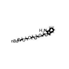 CCCCOCCOCCOCCOCCOCCO[C@@H]1Cc2ccccc2[C@@H]1N